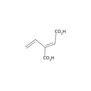 C=CC(=CC(=O)O)C(=O)O